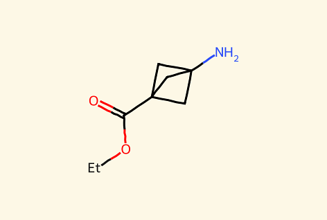 CCOC(=O)C12CC(N)(C1)C2